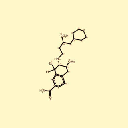 CCC1(CC)c2cc(C(N)=O)ccc2C[C@H](OC)[C@H]1NCC[C@H](CC1CCCCC1)C(=O)O